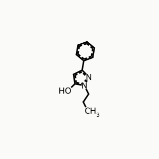 CCCn1nc(-c2ccccc2)cc1O